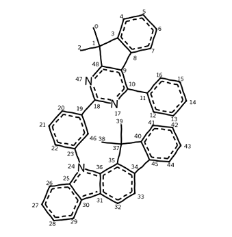 CC1(C)c2ccccc2-c2c(-c3ccccc3)nc(-c3cccc(-n4c5ccccc5c5ccc6c(c54)C(C)(C)c4ccccc4-6)c3)nc21